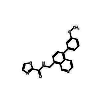 COc1cccc(-c2ccc(CNC(=O)c3ncco3)c3cnccc23)c1